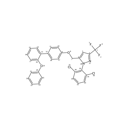 FC(F)(F)c1cc(COc2ccc(-c3ccccc3Oc3ccccc3)cc2)n(-c2c(Cl)cccc2Cl)n1